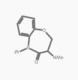 CNC1COc2ccccc2N(C(C)C)C1=O